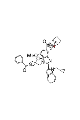 COc1cc(C(=O)N2CC3CCC2[C@@H]3N)cc2nc(-c3cc4ccccc4n3CC3CC3)n(CC3(C)CN(C(=O)c4ccccc4)C3)c12